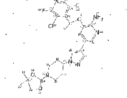 CC(Oc1cc(-c2cnn(C3CCN(C(=O)OC(C)(C)C)CC3)c2)cnc1N)c1c(Cl)ccc(F)c1Cl